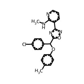 CNc1ncccc1-c1noc(C(Oc2ccc(C)cc2)c2ccc(Cl)cc2)n1